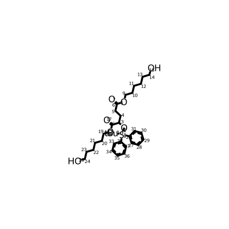 CC(C)(C)[Si](OC(CCC(=O)OCCCCCCO)C(=O)OCCCCCCO)(c1ccccc1)c1ccccc1